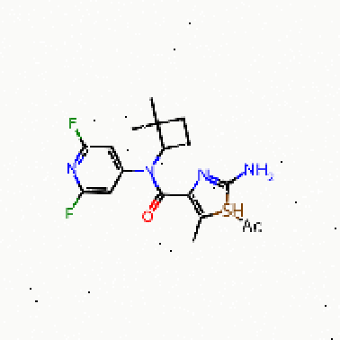 CC(=O)[SH]1C(N)=NC(C(=O)N(c2cc(F)nc(F)c2)C2CCC2(C)C)=C1C